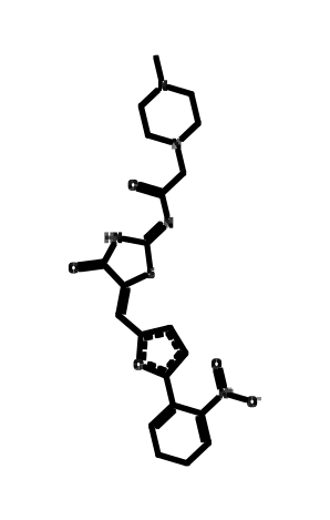 CN1CCN(CC(=O)/N=C2\NC(=O)/C(=C/c3ccc(C4=CCCC=C4[N+](=O)[O-])o3)S2)CC1